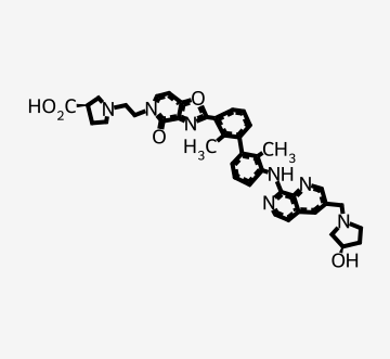 Cc1c(Nc2nccc3cc(CN4CC[C@@H](O)C4)cnc23)cccc1-c1cccc(-c2nc3c(=O)n(CCN4CC[C@@H](C(=O)O)C4)ccc3o2)c1C